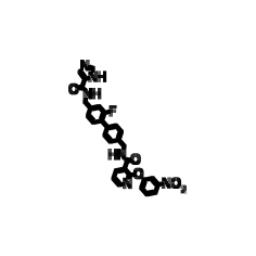 O=C(NCc1ccc(-c2ccc(CNC(=O)c3cccnc3Oc3cccc([N+](=O)[O-])c3)cc2)c(F)c1)c1cnc[nH]1